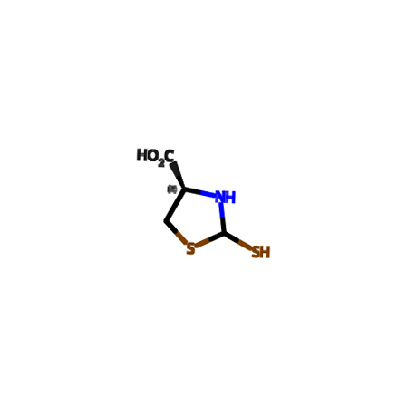 O=C(O)[C@@H]1CSC(S)N1